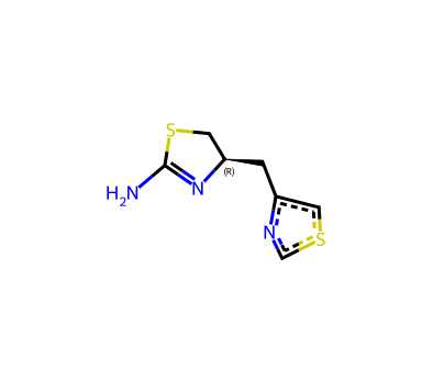 NC1=N[C@H](Cc2cscn2)CS1